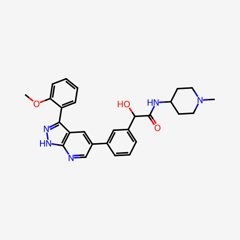 COc1ccccc1-c1n[nH]c2ncc(-c3cccc(C(O)C(=O)NC4CCN(C)CC4)c3)cc12